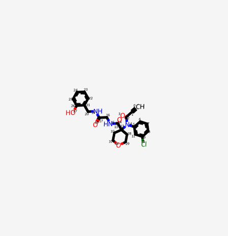 C#CC(=O)N(c1cccc(Cl)c1)C1(C(=O)NCC(=O)NCc2ccccc2O)CCOCC1